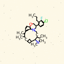 C=C1c2ccc3c(c2)N(CCC(CC)C(N(C)C)C2CC(CC1C)C2)CC(c1ccc(Cl)c(F)c1CCC)CO3